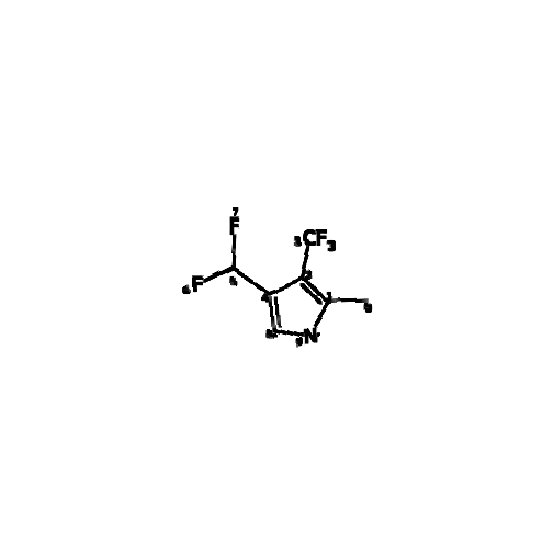 CC1=C(C(F)(F)F)C(C(F)F)=[C][N]1